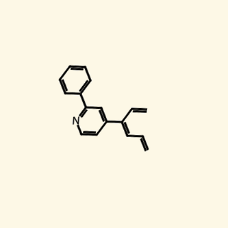 C=C/C=C(\C=C)c1ccnc(-c2ccccc2)c1